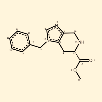 COC(=O)[C@@H]1Cc2c(ncn2Cc2ccccc2)CN1